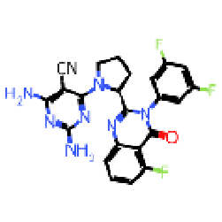 N#Cc1c(N)nc(N)nc1N1CCC[C@H]1c1nc2cccc(F)c2c(=O)n1-c1cc(F)cc(F)c1